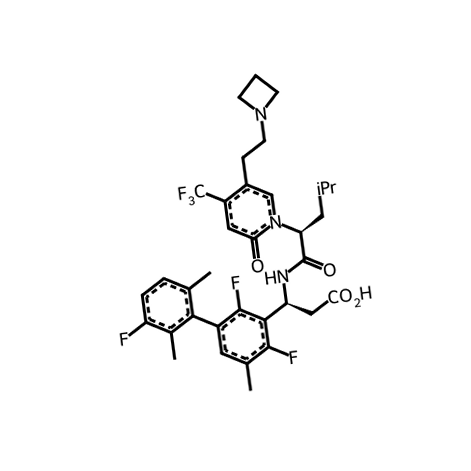 Cc1cc(-c2c(C)ccc(F)c2C)c(F)c([C@H](CC(=O)O)NC(=O)[C@H](CC(C)C)n2cc(CCN3CCC3)c(C(F)(F)F)cc2=O)c1F